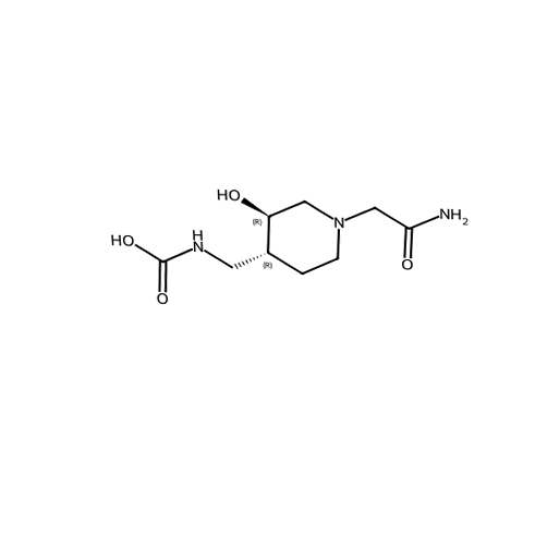 NC(=O)CN1CC[C@H](CNC(=O)O)[C@@H](O)C1